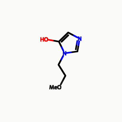 COCCn1cncc1O